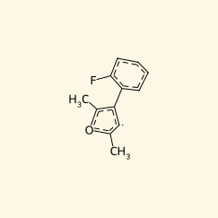 Cc1[c]c(-c2ccccc2F)c(C)o1